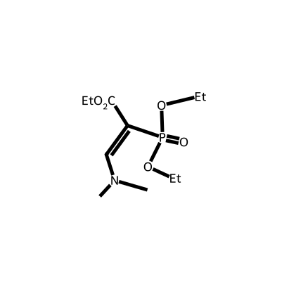 CCOC(=O)C(=CN(C)C)P(=O)(OCC)OCC